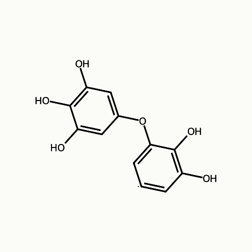 Oc1cc(Oc2c[c]cc(O)c2O)cc(O)c1O